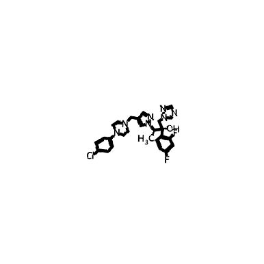 C[C@@H](n1cc(CN2CCN(c3ccc(Cl)cc3)CC2)cn1)[C@](O)(Cn1cncn1)c1ccc(F)cc1F